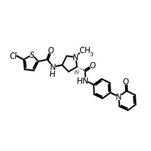 CN1CC(NC(=O)c2ccc(Cl)s2)C[C@H]1C(=O)Nc1ccc(-n2ccccc2=O)cc1